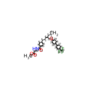 C=CCC(=CCCc1ccc(C(=O)NCCC(=O)OC)cc1)COc1ccc(-c2ccc(C(F)(F)F)cc2)cc1